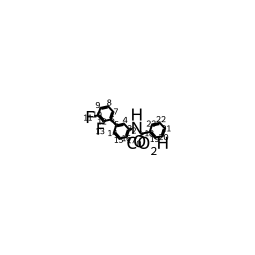 O=C(Nc1cc(-c2cccc(F)c2F)ccc1C(=O)O)c1ccccc1